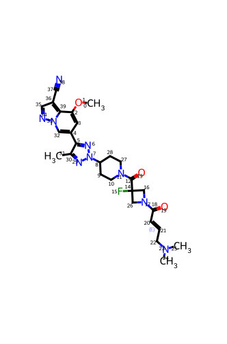 COc1cc(-c2nn(C3CCN(C(=O)C4(F)CN(C(=O)/C=C/CN(C)C)C4)CC3)nc2C)cn2ncc(C#N)c12